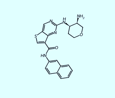 N[C@H]1COCC[C@H]1Nc1ncc2scc(C(=O)Nc3ccc4ccccc4c3)c2n1